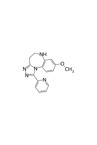 COc1ccc2c(c1)NCCc1nnc(-c3ccccn3)n1-2